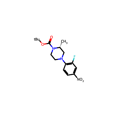 C[C@@H]1CN(c2ccc([N+](=O)[O-])cc2F)CCN1C(=O)OC(C)(C)C